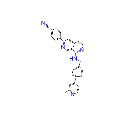 Cc1cc(-c2ccc(CNc3nccc4cc(-c5ccc(C#N)cc5)ncc34)cc2)ccn1